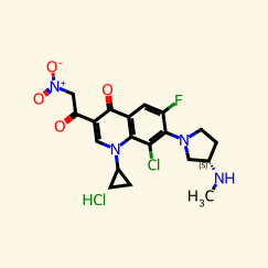 CN[C@H]1CCN(c2c(F)cc3c(=O)c(C(=O)C[N+](=O)[O-])cn(C4CC4)c3c2Cl)C1.Cl